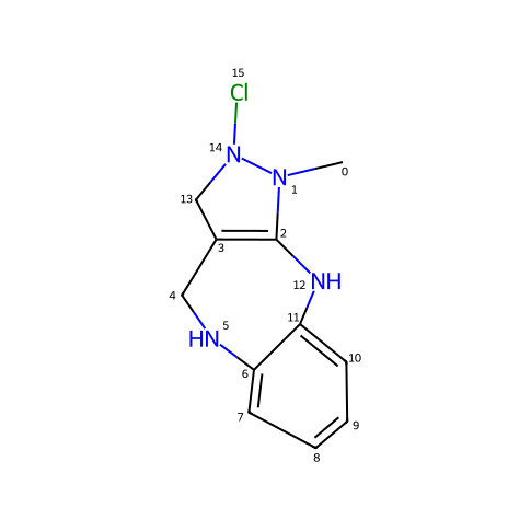 CN1C2=C(CNc3ccccc3N2)CN1Cl